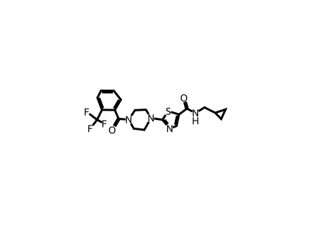 O=C(NCC1CC1)c1cnc(N2CCN(C(=O)c3ccccc3C(F)(F)F)CC2)s1